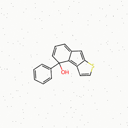 OC1(c2ccccc2)C=CC=C2C=c3sccc3=C21